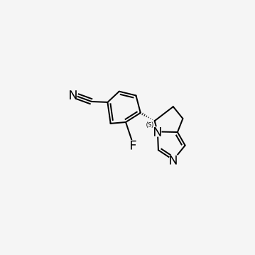 N#Cc1ccc([C@@H]2CCc3cncn32)c(F)c1